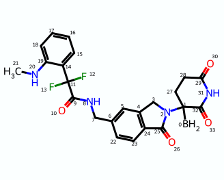 BC1(N2Cc3cc(CNC(=O)C(F)(F)c4ccccc4NC)ccc3C2=O)CCC(=O)NC1=O